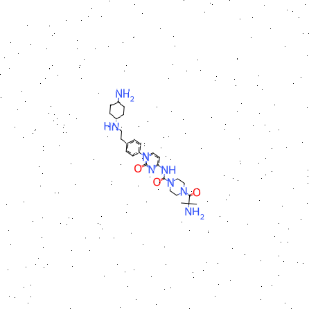 CC(C)(N)C(=O)N1CCN(C(=O)Nc2ccn(-c3ccc(CCN[C@H]4CC[C@H](N)CC4)cc3)c(=O)n2)CC1